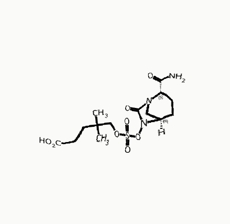 CC(C)(CCC(=O)O)COS(=O)(=O)ON1C(=O)N2C[C@H]1CC[C@H]2C(N)=O